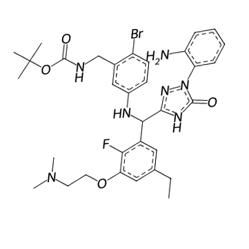 CCc1cc(OCCN(C)C)c(F)c(C(Nc2ccc(Br)c(CNC(=O)OC(C)(C)C)c2)c2nn(-c3ccccc3N)c(=O)[nH]2)c1